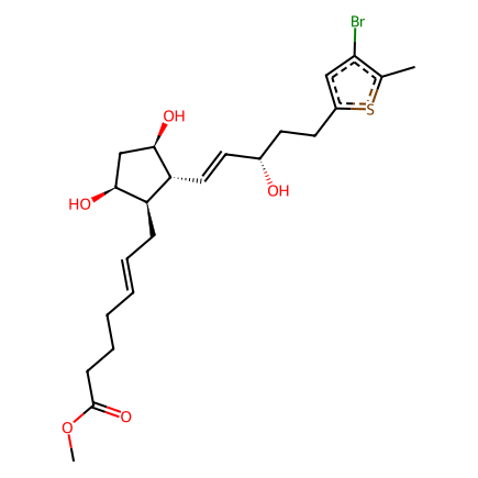 COC(=O)CCCC=CC[C@@H]1[C@@H](C=C[C@@H](O)CCc2cc(Br)c(C)s2)[C@H](O)C[C@@H]1O